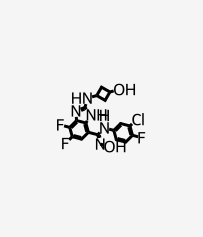 O/N=C(\Nc1ccc(F)c(Cl)c1)c1cc(F)c(F)c2nc(NC3CC(O)C3)[nH]c12